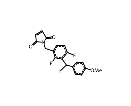 COc1ccc(C(I)c2c(F)ccc(CN3C(=O)C=CC3=O)c2F)cc1